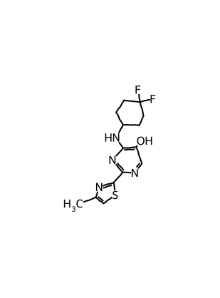 Cc1csc(-c2ncc(O)c(NC3CCC(F)(F)CC3)n2)n1